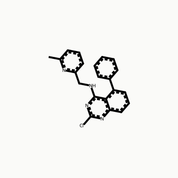 Cc1cccc(CNc2nc(Cl)nc3cccc(-c4ccccc4)c23)n1